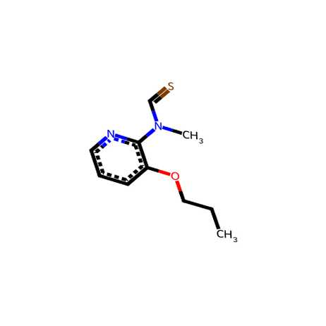 CCCOc1cccnc1N(C)C=S